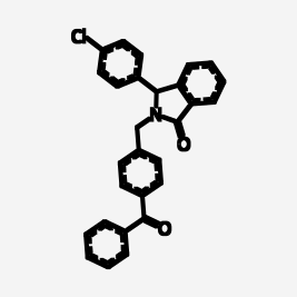 O=C(c1ccccc1)c1ccc(CN2C(=O)c3ccccc3C2c2ccc(Cl)cc2)cc1